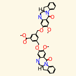 COC(=O)c1cc(COc2cc3c(cc2OC)C(=O)N2c4ccccc4C[C@H]2C=N3)cc(COc2cc3c(cc2OC)C(=O)N2c4ccccc4C[C@H]2C=N3)c1